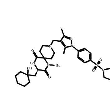 CCCCN1C(=O)[C@@H](CC2(O)CCCCC2)NC(=O)C12CCN(Cc1c(C)nn(-c3ccc(S(=O)(=O)N4CCCC4)cc3)c1C)CC2